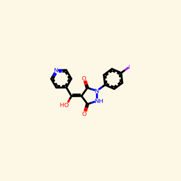 O=C1NN(c2ccc(I)cc2)C(=O)C1=C(O)c1ccncc1